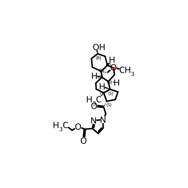 CCOC(=O)c1ccn(CC(=O)[C@H]2CC[C@H]3[C@@H]4CC[C@H]5C[C@H](O)CC[C@]5(COC)[C@H]4CC[C@]23C)n1